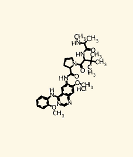 CNC(C)C(=O)NC(C(=O)N1CCCC1C(=O)Nc1cc2c(Nc3ccccc3OC)ncnc2cc1OC)C(C)(C)C.Cl